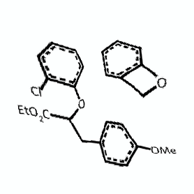 CCOC(=O)C(Cc1ccc(OC)cc1)Oc1ccccc1Cl.c1ccc2c(c1)CO2